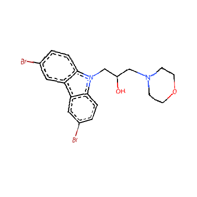 OC(CN1CCOCC1)Cn1c2ccc(Br)cc2c2cc(Br)ccc21